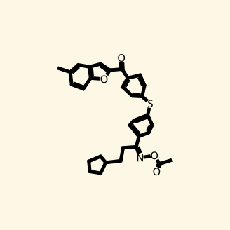 CC(=O)O/N=C(/CCC1CCCC1)c1ccc(Sc2ccc(C(=O)c3cc4cc(C)ccc4o3)cc2)cc1